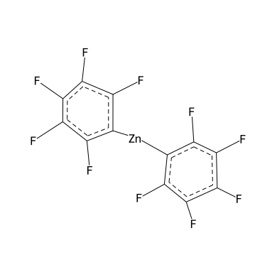 Fc1c(F)c(F)[c]([Zn][c]2c(F)c(F)c(F)c(F)c2F)c(F)c1F